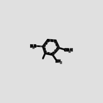 Bc1ccc(C(=O)O)c(N)c1C